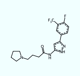 O=C(CCCN1CCCC1)Nc1cc(-c2ccc(F)c(C(F)(F)F)c2)n[nH]1